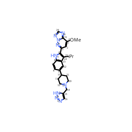 COc1cc(-c2[nH]c3ccc(C4CCN(Cc5cnn[nH]5)CC4)cc3c2C(C)C)nn2ncnc12